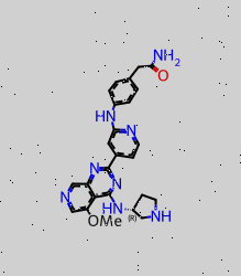 COc1cncc2nc(-c3ccnc(Nc4ccc(CC(N)=O)cc4)c3)nc(N[C@@H]3CCNC3)c12